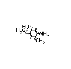 C=c1cc(CC)c(=C)cc1N